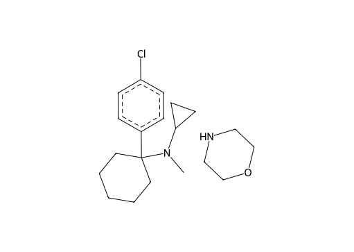 C1COCCN1.CN(C1CC1)C1(c2ccc(Cl)cc2)CCCCC1